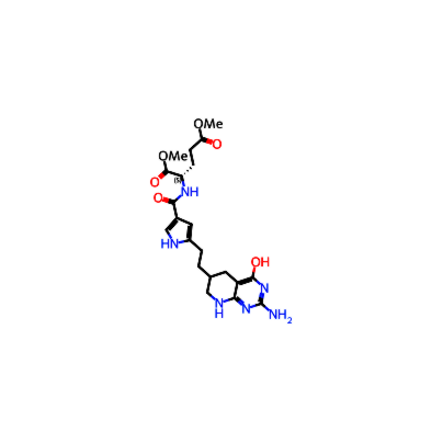 COC(=O)CC[C@H](NC(=O)c1c[nH]c(CCC2CNc3nc(N)nc(O)c3C2)c1)C(=O)OC